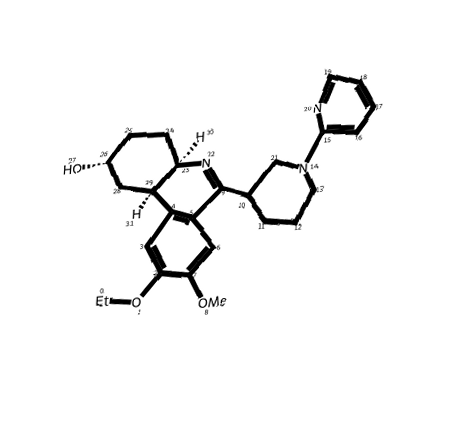 CCOc1cc2c(cc1OC)C(C1CCCN(c3ccccn3)C1)=N[C@@H]1CC[C@@H](O)C[C@H]21